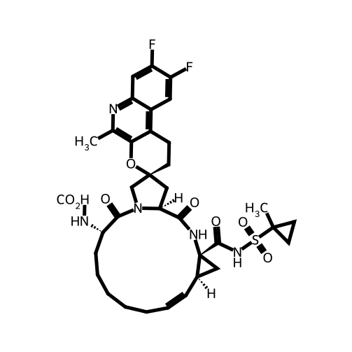 Cc1nc2cc(F)c(F)cc2c2c1O[C@]1(CC2)C[C@H]2C(=O)N[C@]3(C(=O)NS(=O)(=O)C4(C)CC4)C[C@H]3/C=C\CCCCC[C@H](NC(=O)O)C(=O)N2C1